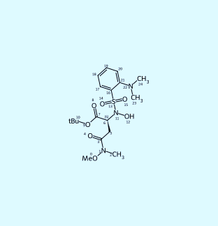 CON(C)C(=O)C[C@@H](C(=O)OC(C)(C)C)N(O)S(=O)(=O)c1ccccc1N(C)C